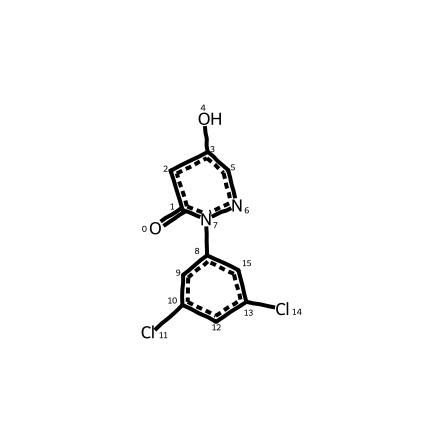 O=c1cc(O)cnn1-c1cc(Cl)cc(Cl)c1